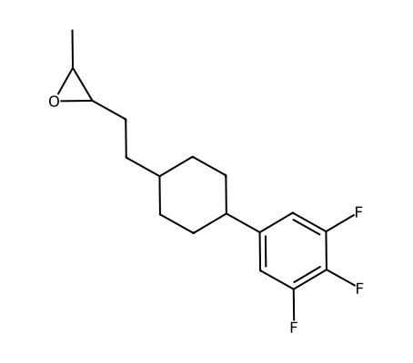 CC1OC1CCC1CCC(c2cc(F)c(F)c(F)c2)CC1